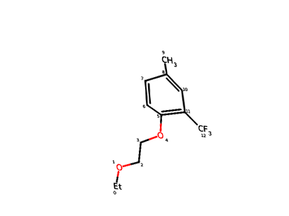 CCOCCOc1ccc(C)cc1C(F)(F)F